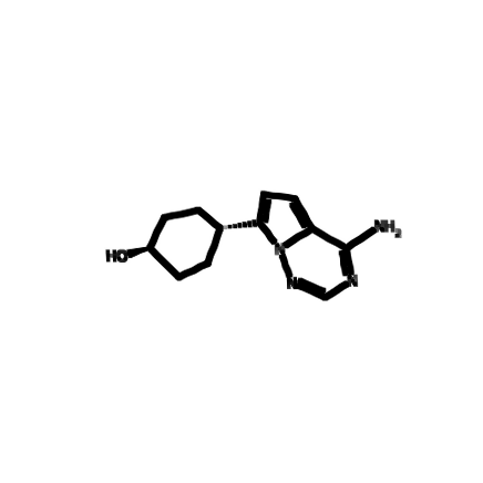 Nc1ncnn2c1ccc2[C@H]1CC[C@H](O)CC1